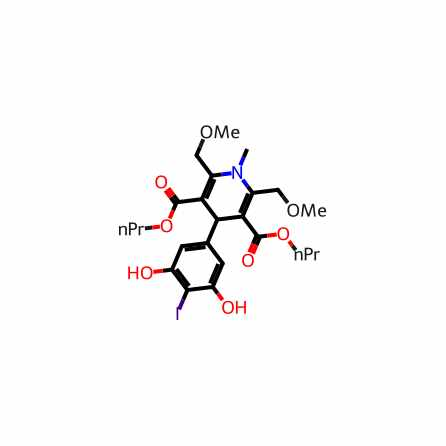 CCCOC(=O)C1=C(COC)N(C)C(COC)=C(C(=O)OCCC)C1c1cc(O)c(I)c(O)c1